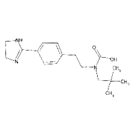 CC(C)(C)CN(CCc1ccc(C2=NCCN2)cc1)C(=O)O